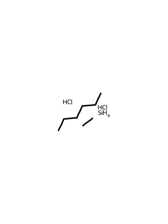 CC.CCCCCC.Cl.Cl.[SiH4]